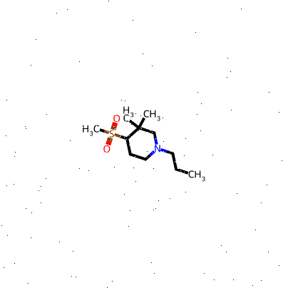 CCCN1CCC(S(C)(=O)=O)C(C)(C)C1